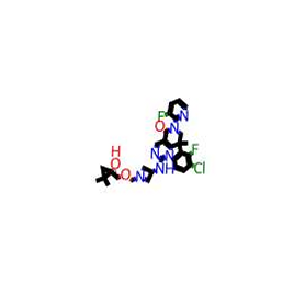 CC1(c2cccc(Cl)c2F)CN(c2ncccc2F)C(=O)c2cnc(NC3CN(COC[C@@]4(O)CC4(C)C)C3)nc21